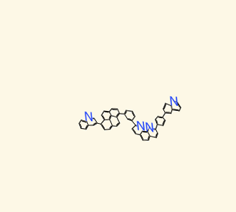 c1cc(-c2ccc3ccc4ccc(-c5ccc(-c6ccc7ncccc7c6)cc5)nc4c3n2)cc(-c2ccc3ccc4c(-c5cnc6ccccc6c5)ccc5ccc2c3c54)c1